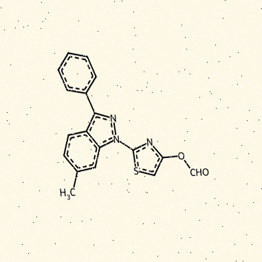 Cc1ccc2c(-c3ccccc3)nn(-c3nc(OC=O)cs3)c2c1